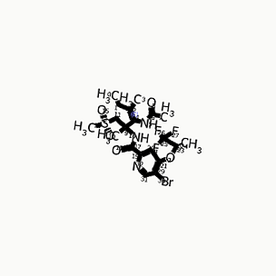 CC/C(C)=C(/NC(C)=O)C(C)(CS(C)(=O)=O)NC(=O)c1cc(O[C@@H](C)C(F)(F)F)c(Br)cn1